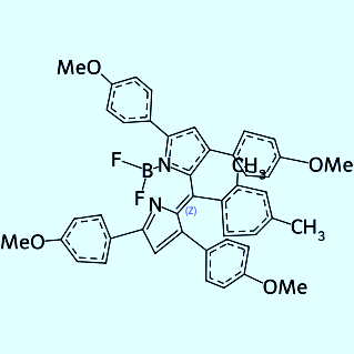 COc1ccc(C2=CC(c3ccc(OC)cc3)=N/C2=C(/c2ccc(C)cc2C)c2c(-c3ccc(OC)cc3)cc(-c3ccc(OC)cc3)n2B(F)F)cc1